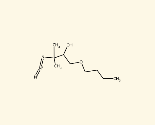 CCCCOCC(O)C(C)(C)N=[N+]=[N-]